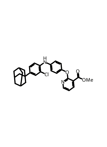 COC(=O)c1cccnc1Oc1ccc(Nc2ccc(C34CC5CC(CC(C5)C3)C4)cc2Cl)cc1